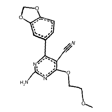 COCCOc1nc(N)nc(-c2ccc3c(c2)OCO3)c1C#N